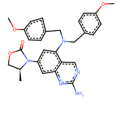 COc1ccc(CN(Cc2ccc(OC)cc2)c2cc(N3C(=O)OC[C@@H]3C)cc3nc(N)ncc23)cc1